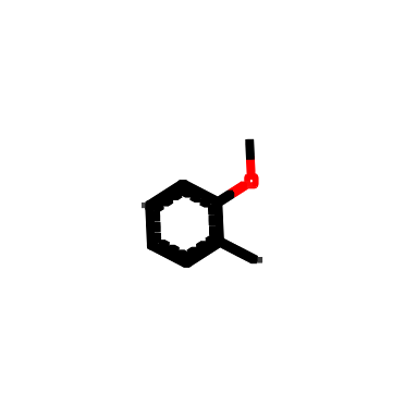 [CH2]c1cc[c]cc1OC